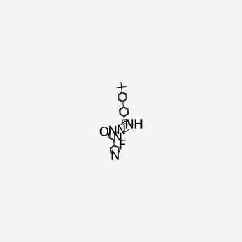 Cn1c(N2CCN[C@@H](c3ccc(-c4ccc(C(C)(C)C)cc4)cc3)C2)nc(-c2ccncc2F)cc1=O